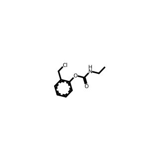 CCNC(=O)Oc1ccccc1CCl